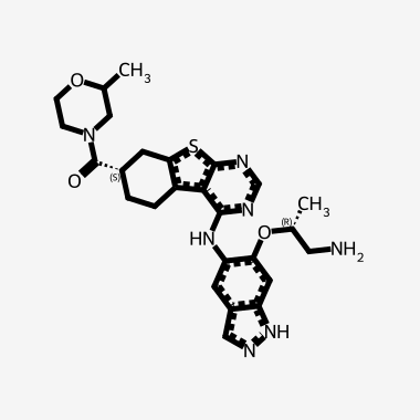 CC1CN(C(=O)[C@H]2CCc3c(sc4ncnc(Nc5cc6cn[nH]c6cc5O[C@H](C)CN)c34)C2)CCO1